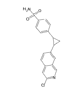 NS(=O)(=O)c1ccc(C2CC2c2ccc3cc(Cl)ncc3c2)cc1